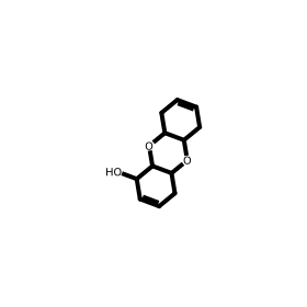 OC1C=CCC2OC3CC=CCC3OC12